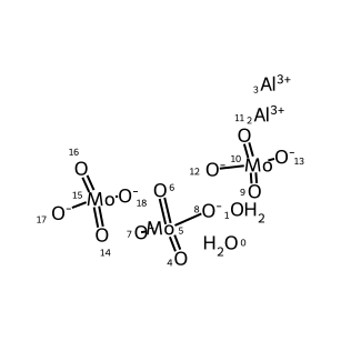 O.O.[Al+3].[Al+3].[O]=[Mo](=[O])([O-])[O-].[O]=[Mo](=[O])([O-])[O-].[O]=[Mo](=[O])([O-])[O-]